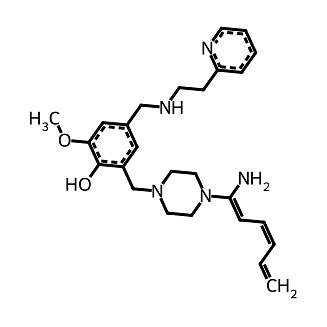 C=C/C=C\C=C(/N)N1CCN(Cc2cc(CNCCc3ccccn3)cc(OC)c2O)CC1